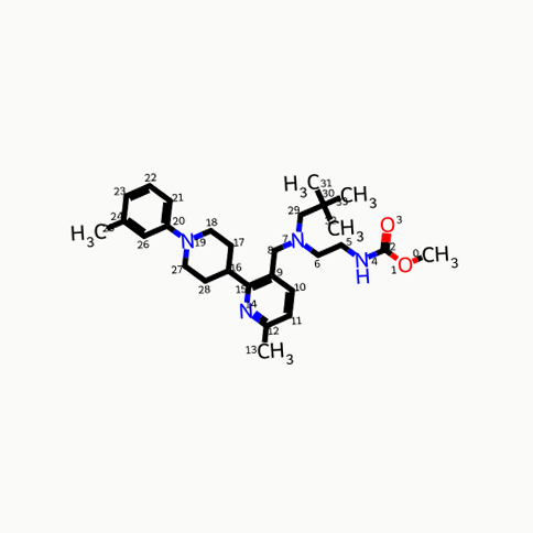 COC(=O)NCCN(Cc1ccc(C)nc1C1CCN(c2cccc(C)c2)CC1)CC(C)(C)C